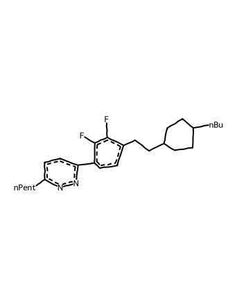 CCCCCc1ccc(-c2ccc(CCC3CCC(CCCC)CC3)c(F)c2F)nn1